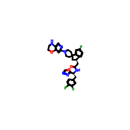 O=C(C[C@@H]1CC2(CCN(c3cc4c(cn3)NCCO4)CC2)c2cc(F)ccc21)N[C@H](Cc1ccc(F)c(F)c1)c1nnco1